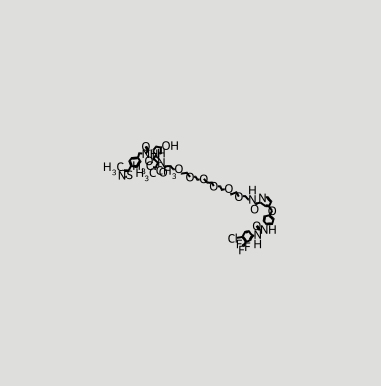 Cc1ncsc1-c1ccc(CNC(=O)[C@@H]2C[C@@H](O)CN2C(=O)[C@H](NC(=O)CCOCCOCCOCCOCCOCCOCCNC(=O)c2cc(Oc3ccc(NC(=O)Nc4ccc(Cl)c(C(F)(F)F)c4)cc3)ccn2)C(C)(C)C)cc1